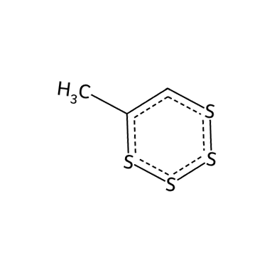 Cc1cssss1